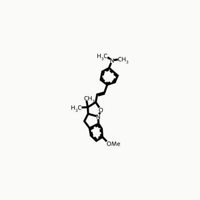 COc1ccc2c(c1)N1OC(C=Cc3ccc(N(C)C)cc3)C(C)(C)C1C2